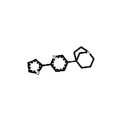 c1coc(-c2ccc(C34CCCN(CC3)C4)cn2)c1